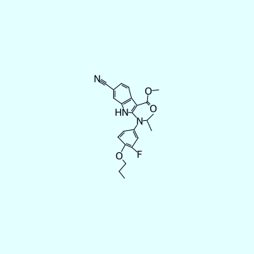 CCCOc1ccc(N(c2[nH]c3cc(C#N)ccc3c2C(=O)OC)C(C)C)cc1F